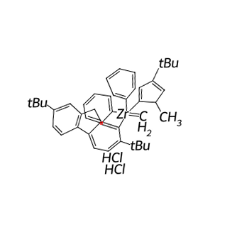 Cl.Cl.[CH2]=[Zr]([C]1=CC(C(C)(C)C)=CC1C)([c]1ccccc1)([c]1ccccc1)[c]1c(C(C)(C)C)ccc2c1Cc1cc(C(C)(C)C)ccc1-2